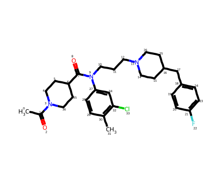 CC(=O)N1CCC(C(=O)N(CCCN2CCC(Cc3ccc(F)cc3)CC2)c2ccc(C)c(Cl)c2)CC1